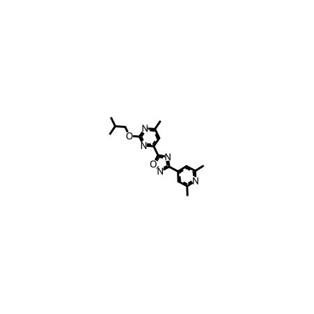 Cc1cc(-c2noc(-c3cc(C)nc(OCC(C)C)n3)n2)cc(C)n1